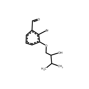 CC(C)C(O)COc1cccc(C=O)c1Br